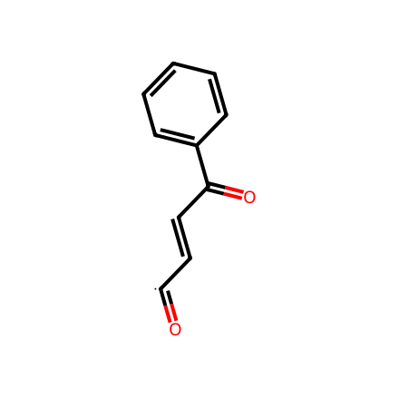 O=[C]C=CC(=O)c1ccccc1